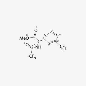 COC(=O)C(NC(=O)C(F)(F)F)c1cccc(C(F)(F)F)c1